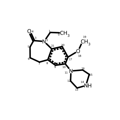 CCN1C(=O)CCCc2cc(N3CCNCC3)c(OC)cc21